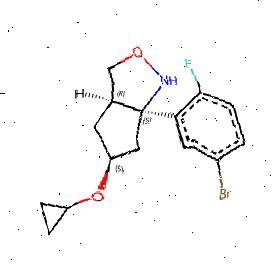 Fc1ccc(Br)cc1[C@]12C[C@@H](OC3CC3)C[C@H]1CON2